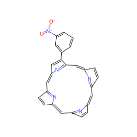 O=[N+]([O-])c1cccc(C2=CC3=CC4=NC(=CC5=NC(=CC6=NC(=CC2=N3)C=C6)C=C5)C=C4)c1